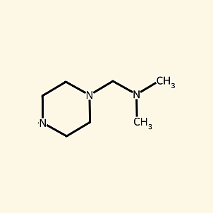 CN(C)CN1CC[N]CC1